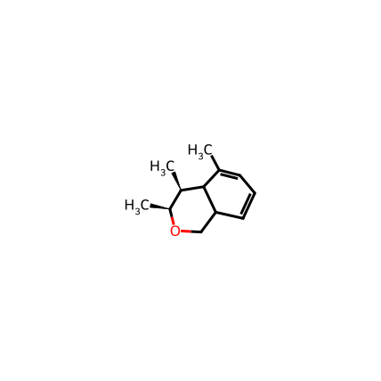 CC1=CC=CC2CO[C@@H](C)[C@@H](C)C12